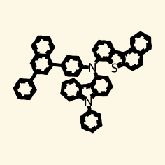 c1ccc(-c2cc(-c3ccc(N(c4cccc5c4sc4ccc6ccccc6c45)c4cccc5c4c4ccccc4n5-c4ccccc4)cc3)c3ccccc3c2)cc1